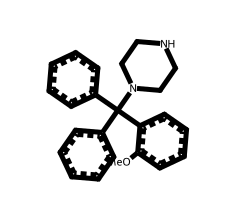 COc1ccccc1C(c1ccccc1)(c1ccccc1)N1CCNCC1